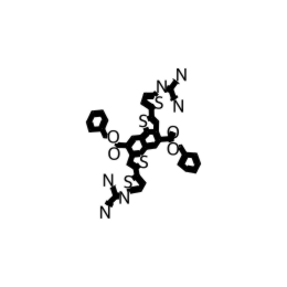 N#CC(C#N)=Nc1ccc(-c2cc3c(C(=O)OCc4ccccc4)cc4c(cc(C(=O)OCc5ccccc5)c5cc(-c6ccc(N=C(C#N)C#N)s6)sc54)c3s2)s1